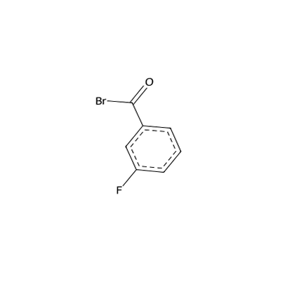 O=C(Br)c1cccc(F)c1